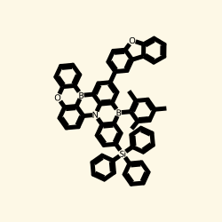 Cc1cc(C)c(B2c3cc([Si](c4ccccc4)(c4ccccc4)c4ccccc4)ccc3N3c4cccc5c4B(c4ccccc4O5)c4cc(-c5ccc6oc7ccccc7c6c5)cc2c43)c(C)c1